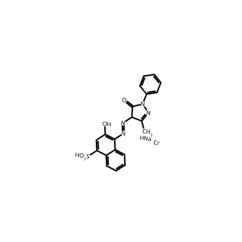 CC1=NN(c2ccccc2)C(=O)C1/N=N/c1c(O)cc(S(=O)(=O)O)c2ccccc12.[Cr].[NaH]